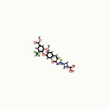 COC(=O)c1ccc(Oc2ccc(C=C3SC(N4CC(C(=O)O)C4)=NC3=O)cc2OC)c(C(F)(F)F)c1